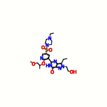 CCc1c2nc(-c3cc(S(=O)(=O)N4CCN(CC)CC4)cnc3OC(C)COC)[nH]c(=O)c2nn1CCO